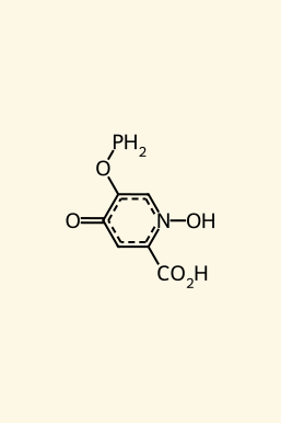 O=C(O)c1cc(=O)c(OP)cn1O